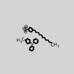 CCCCCCCCCCCCc1ccc(S(=O)(=O)[O-])cc1.Cc1ccc([S+](c2ccccc2)c2ccccc2)cc1